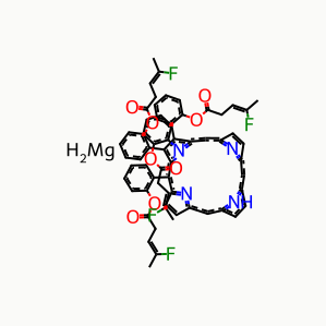 CC(F)=CCC(=O)Oc1ccccc1-c1c(-c2ccccc2OC(=O)CC=C(C)F)c2c(-c3ccccc3OC(=O)CC=C(C)F)c3nc(cc4ccc(cc5nc(cc1n2-c1ccccc1OC(=O)CC=C(C)F)C=C5)[nH]4)C=C3.[MgH2]